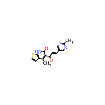 Cc1ncc(C=CC(=O)c2c(C)c3ccsc3[nH]c2=O)cn1